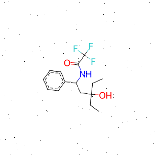 CCC(O)(CC)CC(NC(=O)C(F)(F)F)c1ccccc1